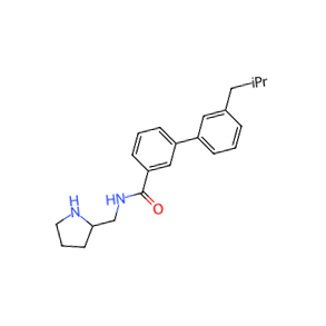 CC(C)Cc1cccc(-c2cccc(C(=O)NCC3CCCN3)c2)c1